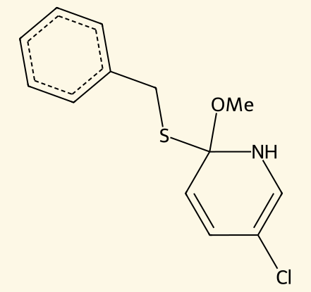 COC1(SCc2ccccc2)C=CC(Cl)=CN1